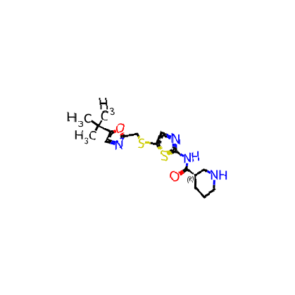 CC(C)(C)c1cnc(CSc2cnc(NC(=O)[C@@H]3CCCNC3)s2)o1